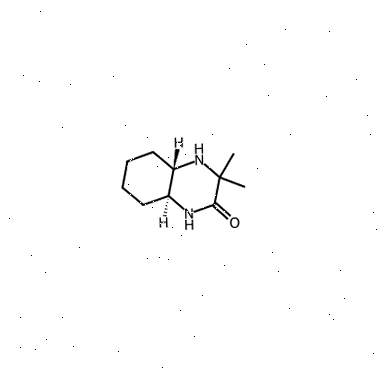 CC1(C)N[C@H]2CCCC[C@@H]2NC1=O